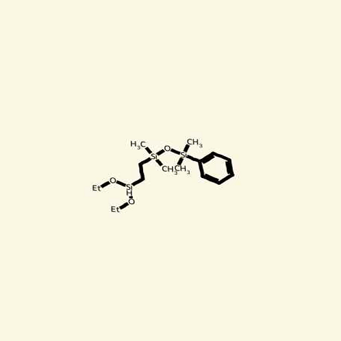 CCO[SiH](CC[Si](C)(C)O[Si](C)(C)c1ccccc1)OCC